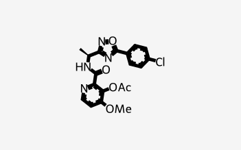 COc1ccnc(C(=O)N[C@@H](C)c2noc(-c3ccc(Cl)cc3)n2)c1OC(C)=O